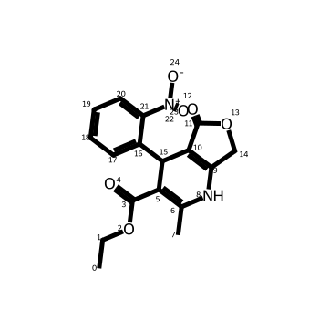 CCOC(=O)C1=C(C)NC2=C(C(=O)OC2)C1c1ccccc1[N+](=O)[O-]